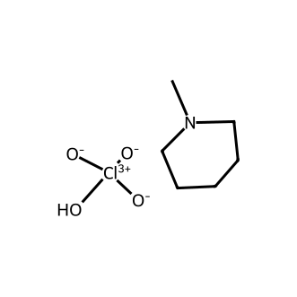 CN1CCCCC1.[O-][Cl+3]([O-])([O-])O